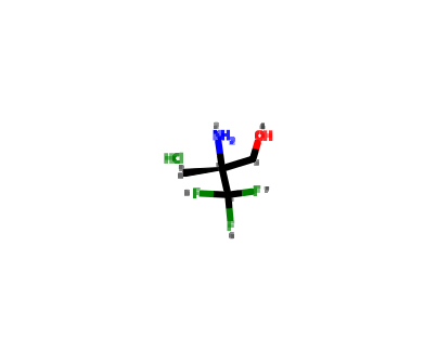 C[C@@](N)(CO)C(F)(F)F.Cl